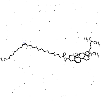 CCCCCCCC/C=C\CCCCCCCCCCCCCC(=O)OC1CC[C@@]2(C)C(=CCC3C2CC[C@@]2(C)C3CC[C@@H]2[C@H](C)CCCC(C)C)C1